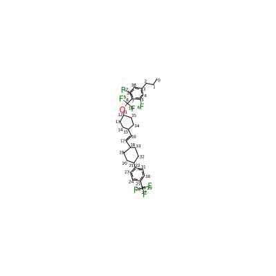 CCCc1cc(F)c(C(F)(F)OC2CCC(/C=C/C3CCC(c4ccc(C(F)(F)F)cc4)CC3)CC2)c(F)c1